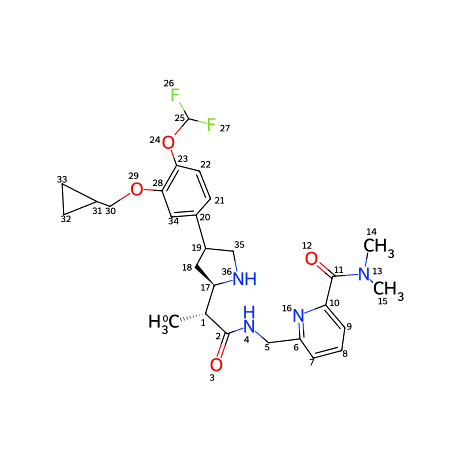 C[C@@H](C(=O)NCc1cccc(C(=O)N(C)C)n1)[C@H]1CC(c2ccc(OC(F)F)c(OCC3CC3)c2)CN1